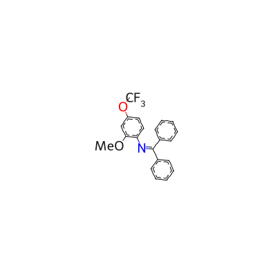 COc1cc(OC(F)(F)F)ccc1N=C(c1ccccc1)c1ccccc1